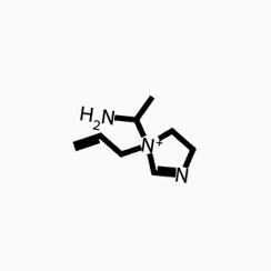 C=CC[N+]1(C(C)N)C=NCC1